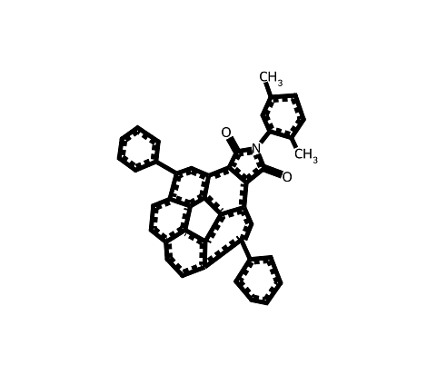 Cc1ccc(C)c(-n2c(=O)c3c4cc(-c5ccccc5)c5ccc6ccc7c(-c8ccccc8)cc(c3c2=O)c2c7c6c5c42)c1